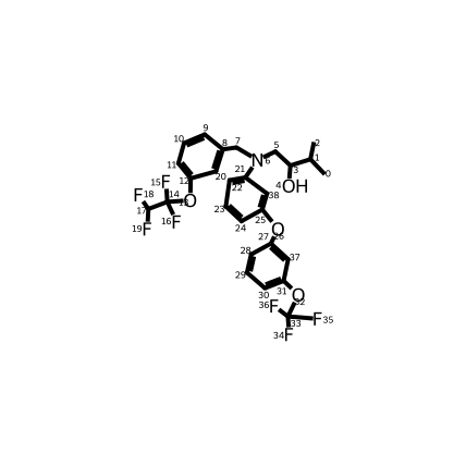 CC(C)C(O)CN(Cc1cccc(OC(F)(F)C(F)F)c1)c1cccc(Oc2cccc(OC(F)(F)F)c2)c1